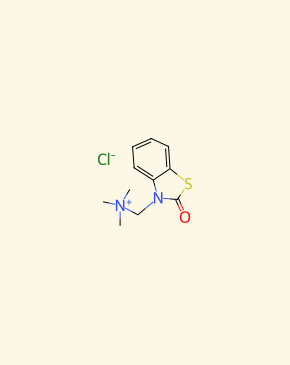 C[N+](C)(C)Cn1c(=O)sc2ccccc21.[Cl-]